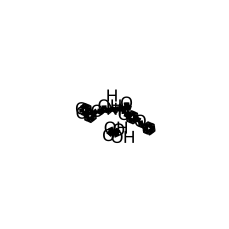 CC(=O)N(CCNCC(O)COc1cccc2c1CCOO2)Oc1ccc(OCc2ccccc2)cc1.O=C(O)C(=O)O